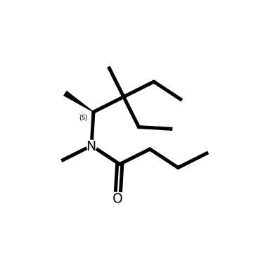 CCCC(=O)N(C)[C@@H](C)C(C)(CC)CC